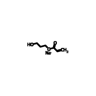 C=CC(=O)OCCCO.[Na]